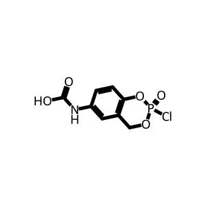 O=C(O)Nc1ccc2c(c1)COP(=O)(Cl)O2